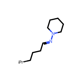 CC(C)CCC/C=N/N1CCCCC1